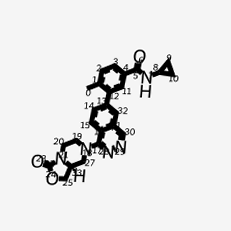 Cc1ccc(C(=O)NC2CC2)cc1-c1ccc2c(N3CCN4C(=O)OC[C@@H]4C3)nncc2c1